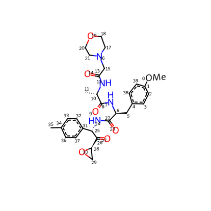 COc1ccc(C[C@H](NC(=O)[C@H](C)NC(=O)CN2CCOCC2)C(=O)N[C@H](C(=O)[C@H]2CO2)c2ccc(C)cc2)cc1